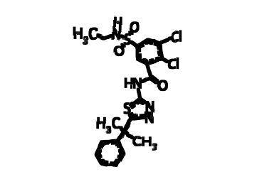 CCNS(=O)(=O)c1cc(Cl)c(Cl)c(C(=O)Nc2nnc(C(C)(C)c3ccccc3)s2)c1